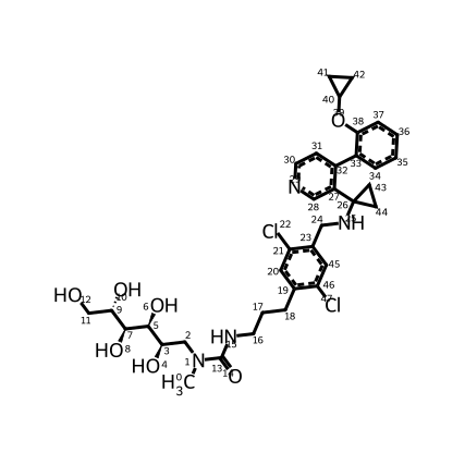 CN(C[C@@H](O)[C@H](O)[C@@H](O)[C@@H](O)CO)C(=O)NCCCc1cc(Cl)c(CNC2(c3cnccc3-c3ccccc3OC3CC3)CC2)cc1Cl